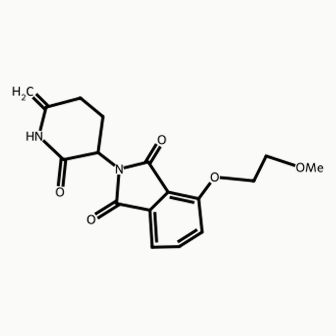 C=C1CCC(N2C(=O)c3cccc(OCCOC)c3C2=O)C(=O)N1